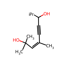 CC(C#CC(O)C(C)C)=CC(C)(C)O